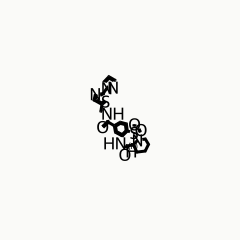 O=C(NCc1cnc(-n2cccn2)s1)c1ccc2c(c1)NC(=O)[C@H]1CCCCN1S2(=O)=O